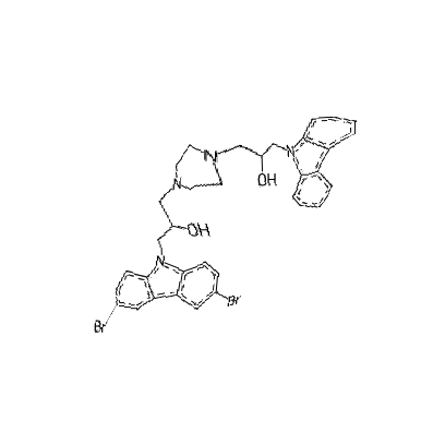 OC(CN1CCN(CC(O)Cn2c3ccc(Br)cc3c3cc(Br)ccc32)CC1)Cn1c2ccccc2c2ccccc21